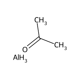 CC(C)=O.[AlH3]